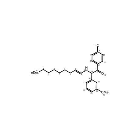 CCCCCCCCCCCCCCCC/C=C/NC(C(=O)c1ccc(Cl)cc1)c1cccc(OC)c1